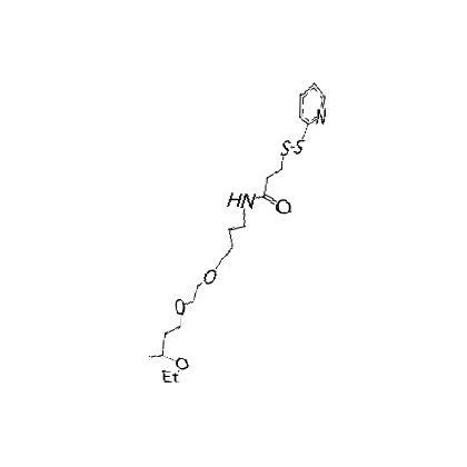 CCOC(C)CCOCCOCCCCNC(=O)CCSSc1ccccn1